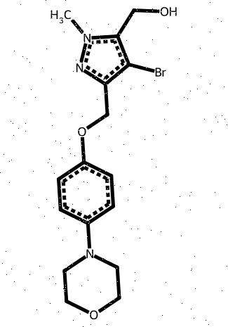 Cn1nc(COc2ccc(N3CCOCC3)cc2)c(Br)c1CO